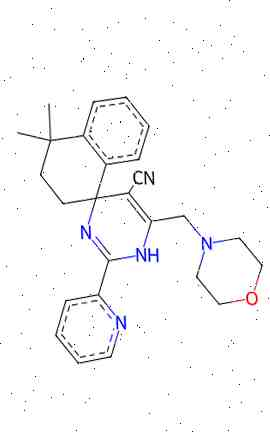 CC1(C)CCC2(N=C(c3ccccn3)NC(CN3CCOCC3)=C2C#N)c2ccccc21